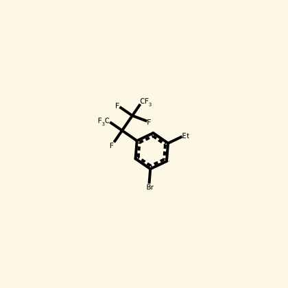 CCc1[c]c(Br)cc(C(F)(C(F)(F)F)C(F)(F)C(F)(F)F)c1